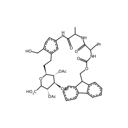 CC(=O)O[C@@H]1[C@@H](OC(C)=O)[C@H](OC(C)=O)C(C(=O)O)O[C@H]1CCc1cc(NC(=O)C(C)NC(=O)C(NC(=O)OCC2c3ccccc3-c3ccccc32)C(C)C)ccc1CO